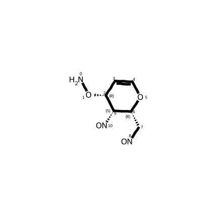 NO[C@@H]1C=CO[C@H](CN=O)[C@@H]1N=O